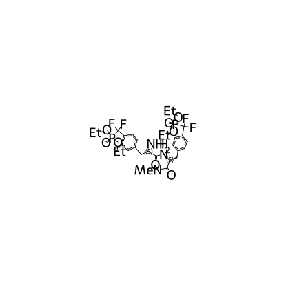 CCOP(=O)(OCC)C(F)(F)c1ccc(C[C@H](NC(=O)[C@@H](N)Cc2ccc(C(F)(F)P(=O)(OCC)OCC)cc2)C(=O)NC)cc1